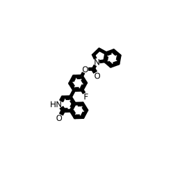 O=C(Oc1ccc(-c2c[nH]c(=O)c3ccccc23)c(F)c1)N1CCc2ccccc21